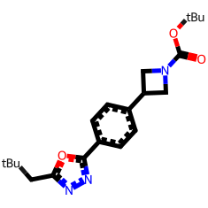 CC(C)(C)Cc1nnc(-c2ccc(C3CN(C(=O)OC(C)(C)C)C3)cc2)o1